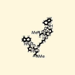 C=C(N[C@H](C(=O)N1CCC[C@H]1C(=O)N[C@@H]1CCCc2ccccc21)[C@@H](C)OCCCCCCO[C@H](C)[C@H](NC(=O)[C@H](C)NC)C(=O)N1CCC[C@H]1C(=O)N[C@@H]1CCCc2ccccc21)[C@H](C)NC